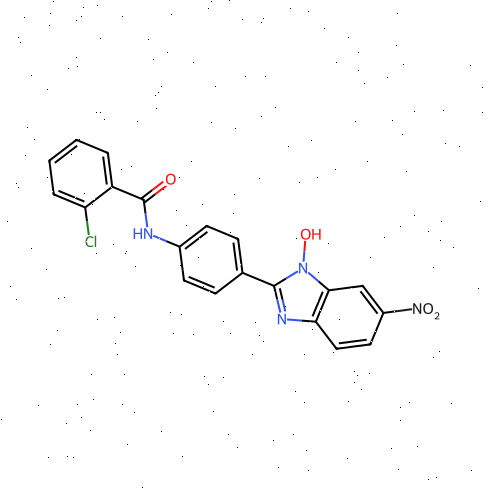 O=C(Nc1ccc(-c2nc3ccc([N+](=O)[O-])cc3n2O)cc1)c1ccccc1Cl